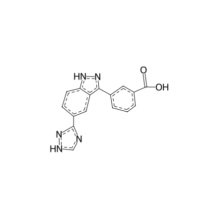 O=C(O)c1cccc(-c2n[nH]c3ccc(-c4nc[nH]n4)cc23)c1